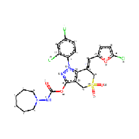 O=C(NN1CCCCCC1)Oc1nn(-c2ccc(Cl)cc2Cl)c2c1CS(=O)(=O)C/C2=C\c1ccc(Cl)o1